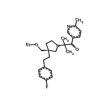 CCOC[C@@]1(CCc2ccc(F)cc2)CCN(C(C)(C)C(=O)c2ccc(C)nc2)C1